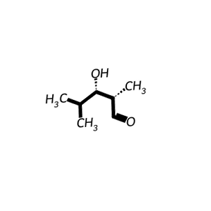 CC(C)[C@H](O)[C@H](C)C=O